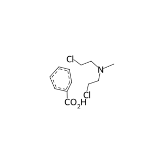 CN(CCCl)CCCl.O=C(O)c1ccccc1